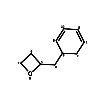 C1=CCC(CC2CCO2)C=C1